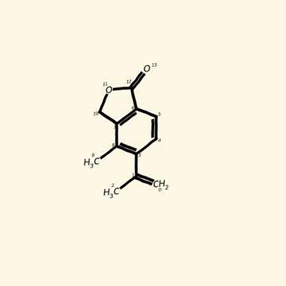 C=C(C)c1ccc2c(c1C)COC2=O